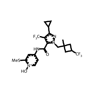 CSc1cc(NC(=O)c2c(C(F)(F)F)c(C3CC3)nn2CC2(C)CC(C(F)(F)F)C2)cc[n+]1O